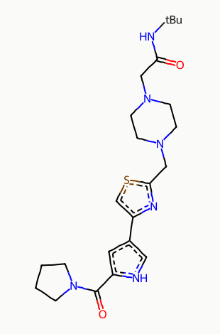 CC(C)(C)NC(=O)CN1CCN(Cc2nc(-c3c[nH]c(C(=O)N4CCCC4)c3)cs2)CC1